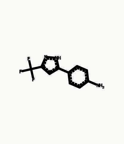 Nc1ccc(-c2cc(C(F)(F)F)n[nH]2)cc1